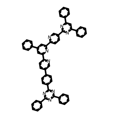 c1ccc(-c2cc(-c3ccc(-c4ccc(-c5nc(-c6ccccc6)nc(-c6ccccc6)n5)cc4)cn3)nc(-c3ccc(-c4nc(-c5ccccc5)cc(-c5ccccc5)n4)cn3)c2)cc1